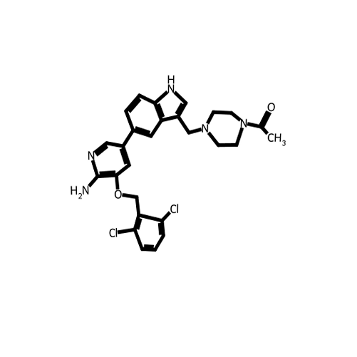 CC(=O)N1CCN(Cc2c[nH]c3ccc(-c4cnc(N)c(OCc5c(Cl)cccc5Cl)c4)cc23)CC1